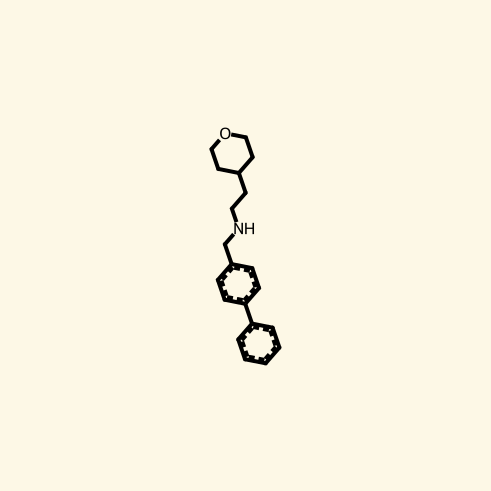 c1ccc(-c2ccc(CNCCC3CCOCC3)cc2)cc1